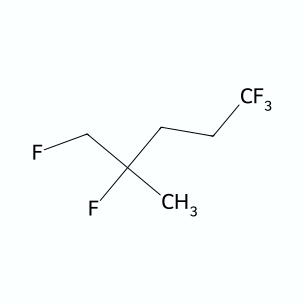 CC(F)(CF)CCC(F)(F)F